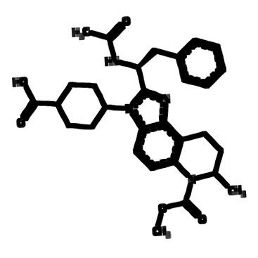 COC(=O)N1c2ccc3c(nc([C@H](Cc4ccccc4)NC(C)=O)n3C3CCC(C(=O)O)CC3)c2CCC1C